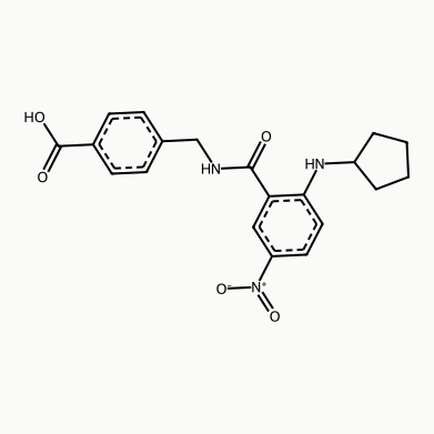 O=C(O)c1ccc(CNC(=O)c2cc([N+](=O)[O-])ccc2NC2CCCC2)cc1